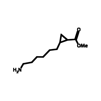 COC(=O)C1CC1CCCCCCN